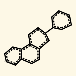 [c]1ccc2c(c1)ccc1cc(-c3ccccc3)ccc12